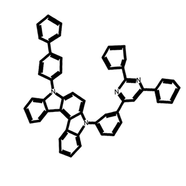 c1ccc(-c2ccc(-n3c4ccccc4c4c5c6ccccc6n(-c6cccc(-c7cc(-c8ccccc8)nc(-c8ccccc8)n7)c6)c5ccc43)cc2)cc1